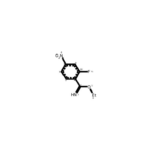 CCOC(=N)c1ccc([N+](=O)[O-])cc1F